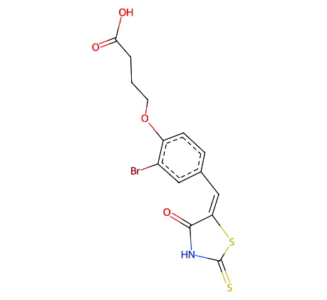 O=C(O)CCCOc1ccc(C=C2SC(=S)NC2=O)cc1Br